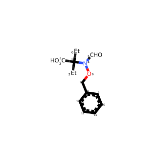 CCC(CC)(C(=O)O)N(C=O)OCc1ccccc1